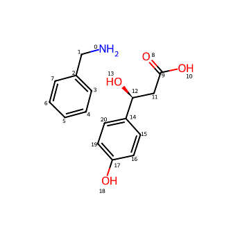 NCc1ccccc1.O=C(O)C[C@H](O)c1ccc(O)cc1